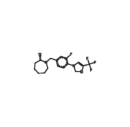 O=C1CCCCCN1Cc1ccc(N2C=C(C(F)(F)F)OC2)c(F)c1